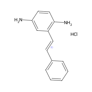 Cl.Nc1ccc(N)c(/C=C/c2ccccc2)c1